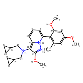 COc1cc(C)c(-c2cccc3c(N(CC4CC4)CC4CC4)c(OC)nn23)c(OC)c1